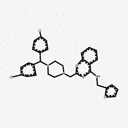 Clc1ccc(C(c2ccc(Cl)cc2)N2CCN(Cc3nc(NCc4ccco4)c4ccccc4n3)CC2)cc1